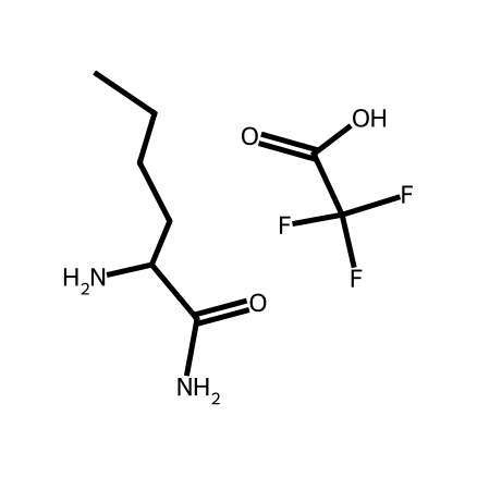 CCCCC(N)C(N)=O.O=C(O)C(F)(F)F